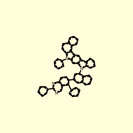 c1ccc(-c2ncc3c(-c4ccccc4)c(-c4cc(-n5c6ccccc6c6cc7c8c9ccccc9ccc8n(-c8ccccc8)c7cc65)c5ccccc5c4)ccc3n2)cc1